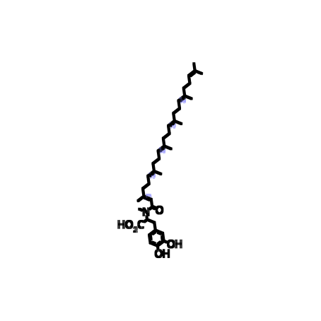 CC(C)=CCC/C(C)=C/CC/C(C)=C/CC/C(C)=C/CC/C(C)=C/CC/C(C)=C/C(=O)N(C)C(Cc1ccc(O)c(O)c1)C(=O)O